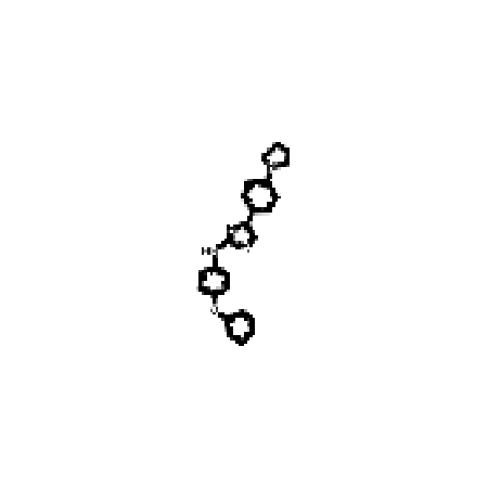 c1ccc(Oc2ccc(Nc3nc(-c4ccc(N5CCCC5)cc4)cs3)cc2)cc1